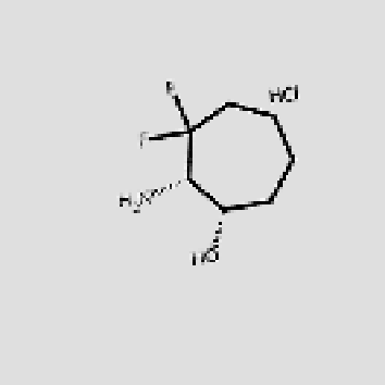 Cl.N[C@H]1[C@@H](O)CCCCC1(F)F